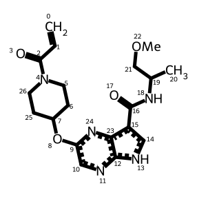 C=CC(=O)N1CCC(Oc2cnc3[nH]cc(C(=O)NC(C)COC)c3n2)CC1